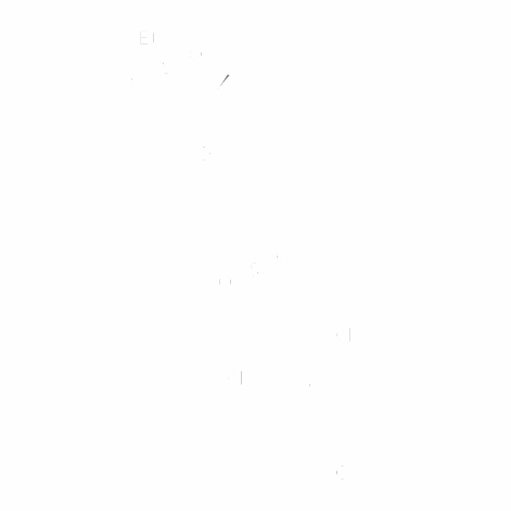 CCS(=O)(=O)C[C@@H](C)COc1ccc(S(=O)(=O)c2cc(Cl)c(OC[C@H](C)CCl)c(Cl)c2)cc1